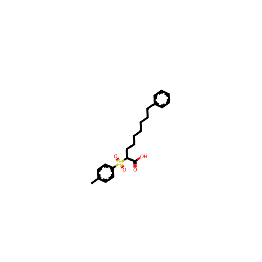 Cc1ccc(S(=O)(=O)C(CCCCCCCc2ccccc2)C(=O)O)cc1